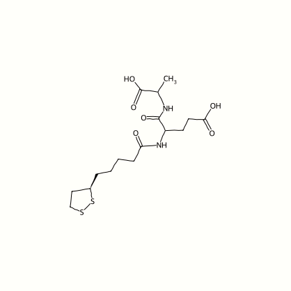 CC(NC(=O)C(CCC(=O)O)NC(=O)CCCC[C@@H]1CCSS1)C(=O)O